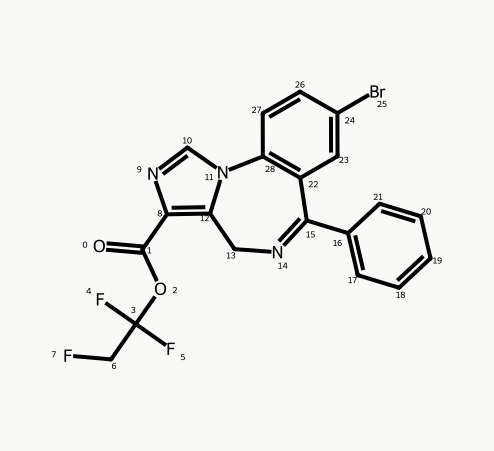 O=C(OC(F)(F)CF)c1ncn2c1CN=C(c1ccccc1)c1cc(Br)ccc1-2